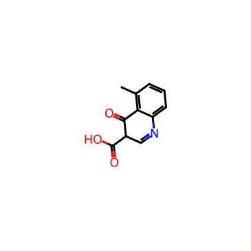 Cc1cccc2c1C(=O)C(C(=O)O)C=N2